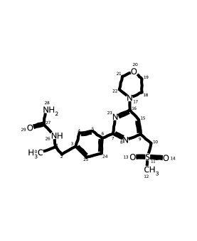 CC(Cc1ccc(-c2nc(CS(C)(=O)=O)cc(N3CCOCC3)n2)cc1)NC(N)=O